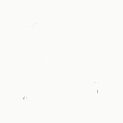 CCCCOc1ccc(Oc2cc(-c3ccc(OC(F)(F)F)cc3)ccc2/C=C/C(=O)O)cc1